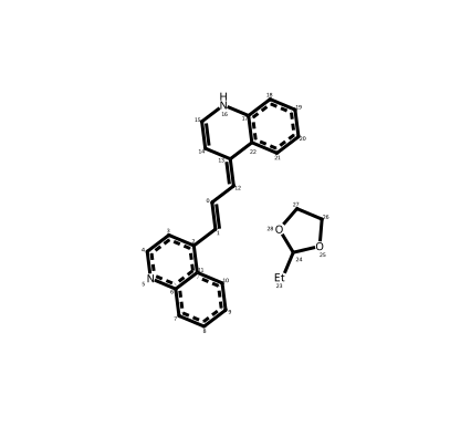 C(=Cc1ccnc2ccccc12)C=C1C=CNc2ccccc21.CCC1OCCO1